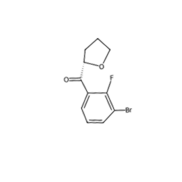 O=C(c1cccc(Br)c1F)[C@@H]1CCCO1